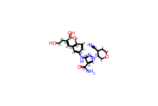 N#CC1CCOC[C@@H]1n1cc(C(N)=O)c(Nc2ccc3c(c2)C=C(CCO)B(O)O3)n1